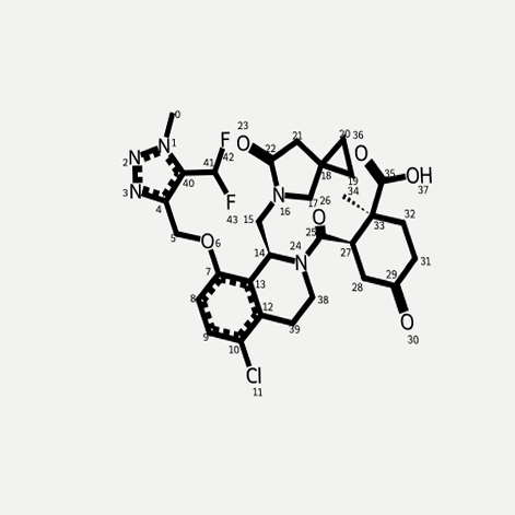 Cn1nnc(COc2ccc(Cl)c3c2[C@@H](CN2CC4(CC4)CC2=O)N(C(=O)[C@@H]2CC(=O)CC[C@]2(C)C(=O)O)CC3)c1C(F)F